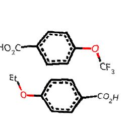 CCOc1ccc(C(=O)O)cc1.O=C(O)c1ccc(OC(F)(F)F)cc1